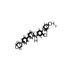 CN1CC2CC1CN2c1ccc(Nc2nccc(-c3ccc(N4CCOCC4)nc3)n2)cc1Cl